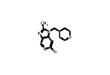 Cc1nc2cnc(Br)cc2n1CC1CCOCC1